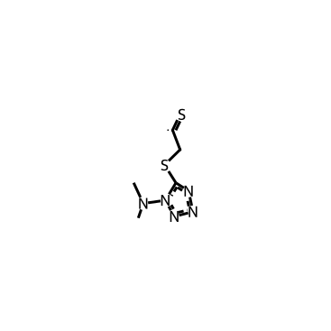 CN(C)n1nnnc1SC[C]=S